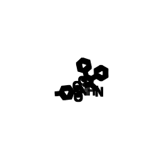 Cc1ccc(S(=O)(=O)Nc2oc(-c3ccccc3)c(-c3ccccc3)c2C#N)cc1